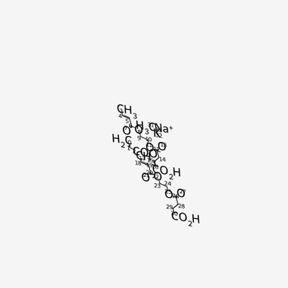 C=CC(=O)[O-].CC=CC(=O)OCCOC(=O)CCC(=O)O.CC=CC(=O)OCCOC(=O)CCC(=O)O.[CH3][K].[Na+]